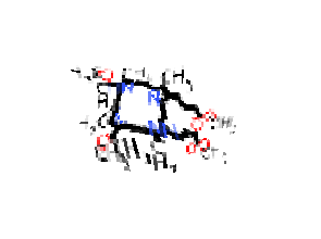 COC(=O)CCCC1=C(C)c2cc3[nH]c(cc4nc(cc5[nH]c(cc1n2)c(CCCC(=O)OC)c5C)C(C(C)OC)=C4C)c(C(C)OC)c3C